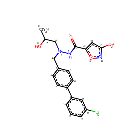 O=C(NN(Cc1ccc(-c2cccc(Cl)c2)cc1)CC(O)C(=O)O)c1cc(O)no1